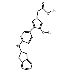 CCOc1nn(CC(=O)OC(C)(C)C)cc1-c1cnc(NC2Cc3ccccc3C2)cn1